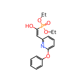 CCOP(=O)(OCC)C(O)=Cc1cccc(Oc2ccccc2)n1